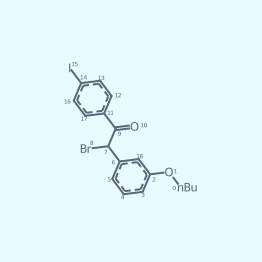 CCCCOc1cccc(C(Br)C(=O)c2ccc(I)cc2)c1